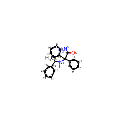 CC(NC(C(N)=O)(c1ccccc1)c1ccccc1)c1ccccc1